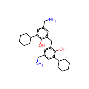 NCc1cc(Cc2cc(CN)cc(C3CCCCC3)c2O)c(O)c(C2CCCCC2)c1